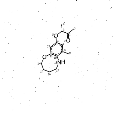 CC(=O)[C@@H](C)Oc1cc(C)c2c(c1)OCCCCN2